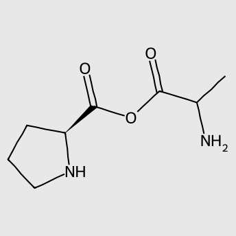 CC(N)C(=O)OC(=O)[C@@H]1CCCN1